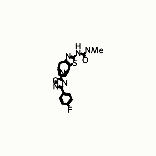 CNC(=O)Nc1nc2c(s1)C1CCC(C2)N1c1nc(-c2ccc(F)cc2)no1